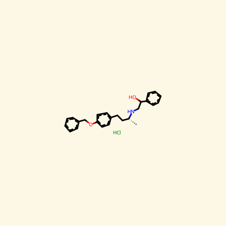 C[C@H](CCc1ccc(OCc2ccccc2)cc1)NCC(O)c1ccccc1.Cl